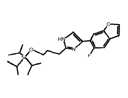 CC(C)[Si](OCCCc1nc(-c2cc3occc3cc2F)c[nH]1)(C(C)C)C(C)C